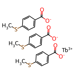 CSc1ccc(C(=O)[O-])cc1.CSc1ccc(C(=O)[O-])cc1.CSc1ccc(C(=O)[O-])cc1.[Tb+3]